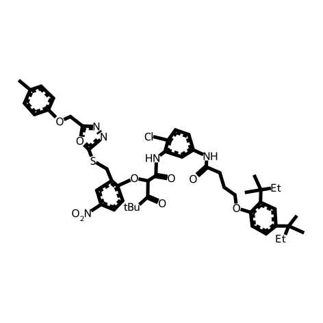 CCC(C)(C)c1ccc(OCCCC(=O)Nc2ccc(Cl)c(NC(=O)C(Oc3ccc([N+](=O)[O-])cc3CSc3nnc(COc4ccc(C)cc4)o3)C(=O)C(C)(C)C)c2)c(C(C)(C)CC)c1